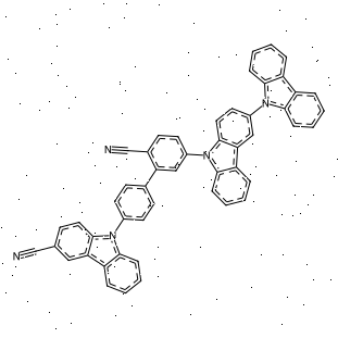 N#Cc1ccc2c(c1)c1ccccc1n2-c1ccc(-c2cc(-n3c4ccccc4c4cc(-n5c6ccccc6c6ccccc65)ccc43)ccc2C#N)cc1